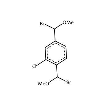 COC(Br)c1ccc(C(Br)OC)c(Cl)c1